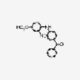 O=C(O)c1ccc(Nc2ccc(C(=O)c3ccccc3)cc2)c([N+](=O)[O-])c1